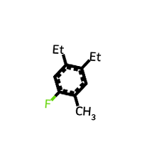 CCc1cc(C)c(F)cc1CC